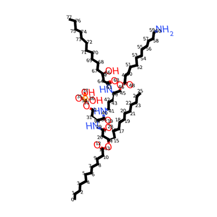 CCCCCCCCCCCC(=O)O[C@H](CCCCCCCCCCC)CC(=O)N[C@@H](CCOP(=O)(O)O)C(=O)NCCC[C@H](COC(=O)CCCCCCCCCCCN)NC(=O)C[C@H](O)CCCCCCCCCCC